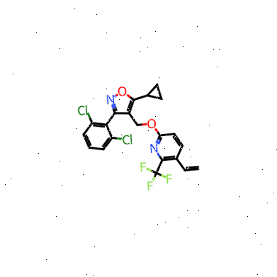 C=Cc1ccc(OCc2c(-c3c(Cl)cccc3Cl)noc2C2CC2)nc1C(F)(F)F